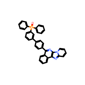 O=P(c1ccccc1)(c1ccccc1)c1cccc(-c2ccc(-c3nc4c(nc5ccccn54)c4ccccc34)cc2)c1